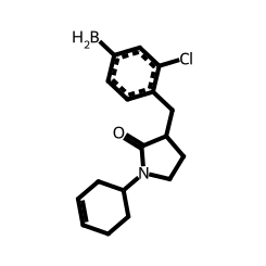 Bc1ccc(CC2CCN(C3CC=CCC3)C2=O)c(Cl)c1